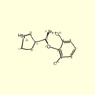 CC(C)[C@@H](Oc1c(Cl)cccc1Cl)C1CCNC1